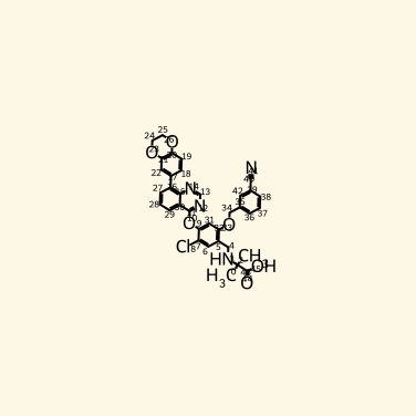 CC(C)(NCc1cc(Cl)c(Oc2ncnc3c(-c4ccc5c(c4)OCCO5)cccc23)cc1OCc1cccc(C#N)c1)C(=O)O